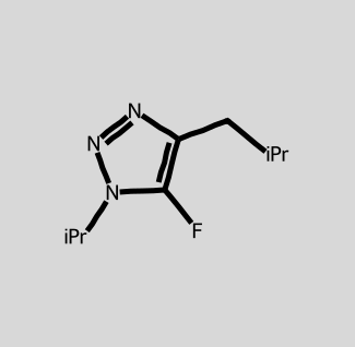 CC(C)Cc1nnn(C(C)C)c1F